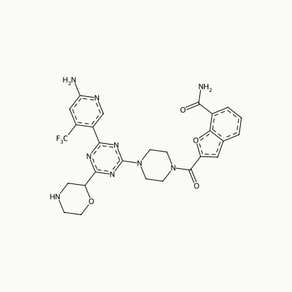 NC(=O)c1cccc2cc(C(=O)N3CCN(c4nc(-c5cnc(N)cc5C(F)(F)F)nc(C5CNCCO5)n4)CC3)oc12